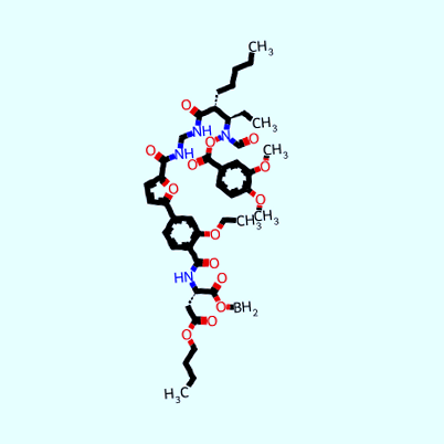 BOC(=O)[C@H](CC(=O)OCCCC)NC(=O)c1ccc(-c2ccc(C(=O)NCNC(=O)[C@H](CCCCC)[C@@H](CC)N(C=O)OC(=O)c3ccc(OC)c(OC)c3)o2)cc1OCC